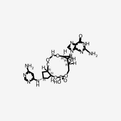 Nc1cc(N[C@@H]2C[C@@H]3COPO[C@@H]4[C@H](O)[C@@H](COP(=O)(O)O[C@H]3C2)O[C@H]4n2cnc3c(=O)[nH]c(N)nc32)ncn1